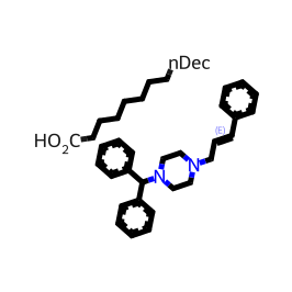 C(=C\c1ccccc1)/CN1CCN(C(c2ccccc2)c2ccccc2)CC1.CCCCCCCCCCCCCCCCCC(=O)O